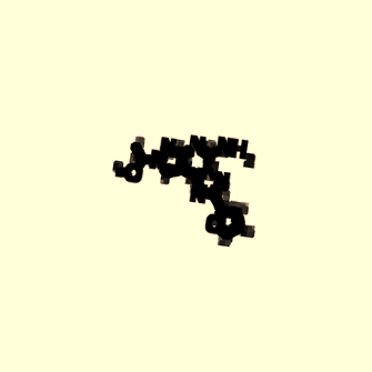 COC(C)n1cc2c(nc(N)n3nc(-c4ccco4)nc23)n1